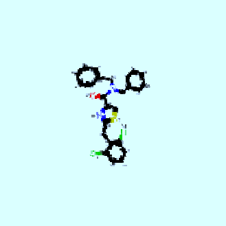 O=C(c1csc(Cc2c(Cl)cccc2Cl)n1)N(Cc1ccccc1)Cc1ccccc1